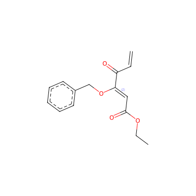 C=CC(=O)/C(=C/C(=O)OCC)OCc1ccccc1